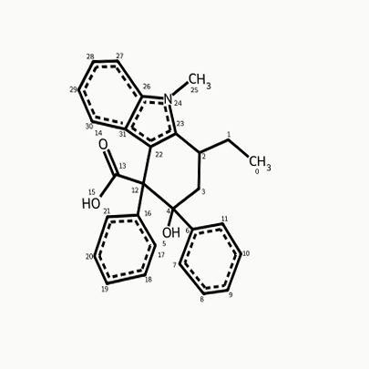 CCC1CC(O)(c2ccccc2)C(C(=O)O)(c2ccccc2)c2c1n(C)c1ccccc21